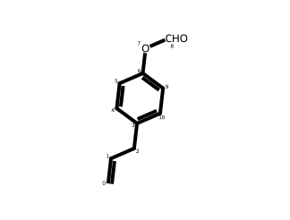 C=CCc1ccc(OC=O)cc1